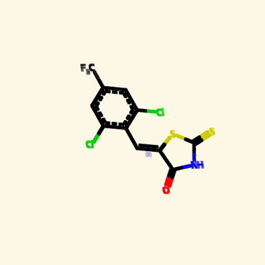 O=C1NC(=S)S/C1=C\c1c(Cl)cc(C(F)(F)F)cc1Cl